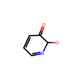 [O]C1N=CC=CC1=O